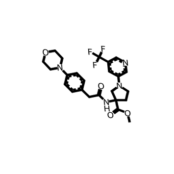 COC(=O)C1(NC(=O)Cc2ccc(N3CCOCC3)cc2)CCN(c2cncc(C(F)(F)F)c2)C1